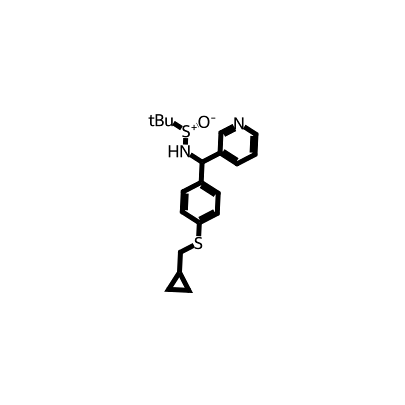 CC(C)(C)[S+]([O-])NC(c1ccc(SCC2CC2)cc1)c1cccnc1